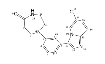 O=C1CCN(c2ccnc(-c3cnc4ccc(Cl)cn34)n2)CCN1